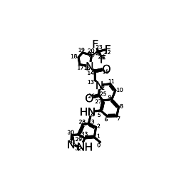 Cc1cc(Nc2cccc3ccn(CC(=O)N4CCC[C@H]4C(F)(F)F)c(=O)c23)cc2cn[nH]c12